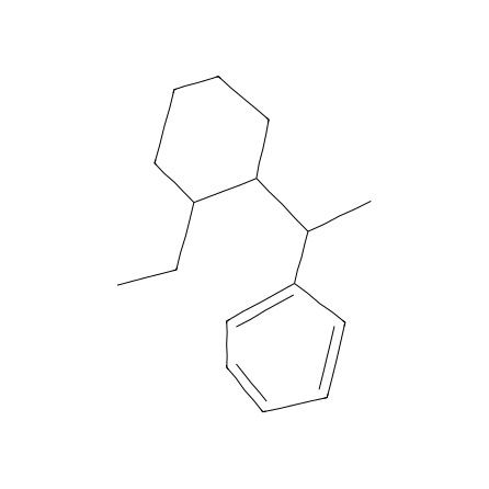 CCC1CCCCC1C(C)c1ccccc1